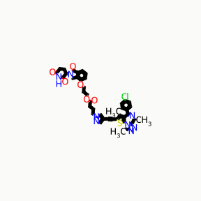 Cc1c(C#Cc2cnn(CCCC(=O)OCCCOc3cccc4c3CN(C3CCC(=O)NC3=O)C4=O)c2)sc2c1C(c1ccc(Cl)cc1)=N[C@@H](C)c1nnc(C)n1-2